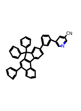 N#Cc1cncc(-c2cccc(-c3ccc4c(c3)C(c3ccccc3)(c3ccccc3)c3cc(-c5ccccc5)c5ccccc5c3-4)c2)c1